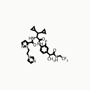 C[C@H](C(=O)NCC(F)(F)F)c1ccc(NC(=O)[C@@H](NC(=O)c2ccnn2CCn2ccnc2)C(C2CC2)C2CC2)c(F)c1